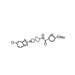 COc1ccc(C(=O)NC2CC3(C2)CN(c2nc4cc(Cl)ccc4o2)C3)cn1